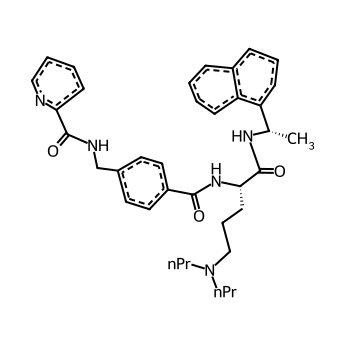 CCCN(CCC)CCC[C@H](NC(=O)c1ccc(CNC(=O)c2ccccn2)cc1)C(=O)N[C@@H](C)c1cccc2ccccc12